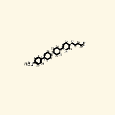 CCCCc1ccc(C2CCC([C@H]3CC[C@H]([C@H]4CC[C@H](CCCCF)CC4)CC3)CC2)cc1